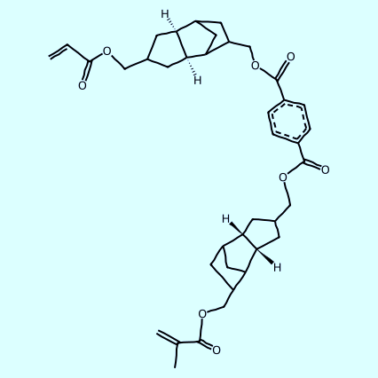 C=CC(=O)OCC1C[C@@H]2C3CC(CC3COC(=O)c3ccc(C(=O)OCC4C[C@@H]5C6CC(CC6COC(=O)C(=C)C)[C@@H]5C4)cc3)[C@@H]2C1